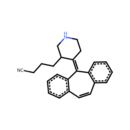 N#CCCCC1CNCCC1=C1c2ccccc2C=Cc2ccccc21